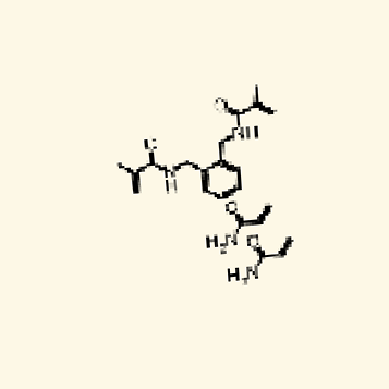 C=C(C)C(=O)NCc1ccccc1CNC(=O)C(=C)C.C=CC(N)=O.C=CC(N)=O